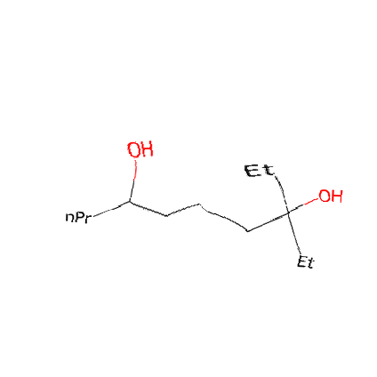 CCCC(O)CCCC(O)(CC)CC